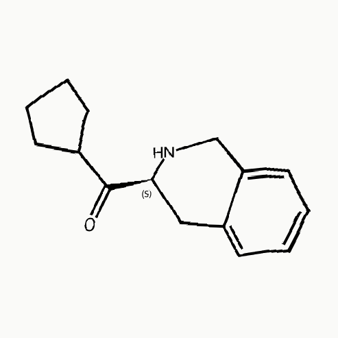 O=C(C1CCCC1)[C@@H]1Cc2ccccc2CN1